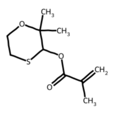 C=C(C)C(=O)OC1SCCOC1(C)C